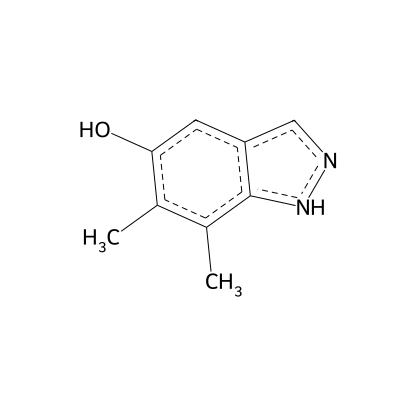 Cc1c(O)cc2cn[nH]c2c1C